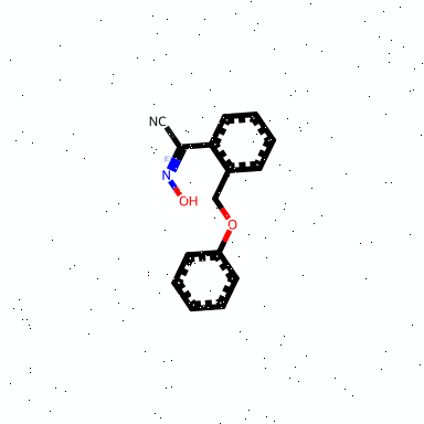 N#C/C(=N/O)c1ccccc1COc1ccccc1